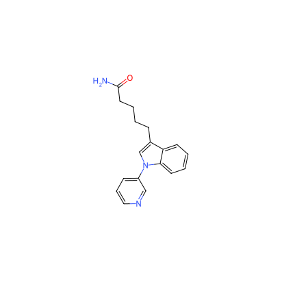 NC(=O)CCCCc1cn(-c2cccnc2)c2ccccc12